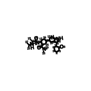 COc1ccccc1-c1c[nH]c2ncc(-c3ccc(NC(=O)[C@H](C)NC(C)C)c(C(=O)N(C)C)c3)cc12